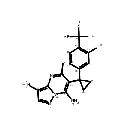 Cc1nc2c(N)cnn2c(N)c1C1(c2ccc(C(F)(F)F)c(F)c2)CC1